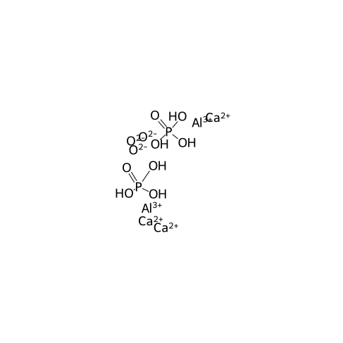 O=P(O)(O)O.O=P(O)(O)O.[Al+3].[Al+3].[Ca+2].[Ca+2].[Ca+2].[O-2].[O-2].[O-2]